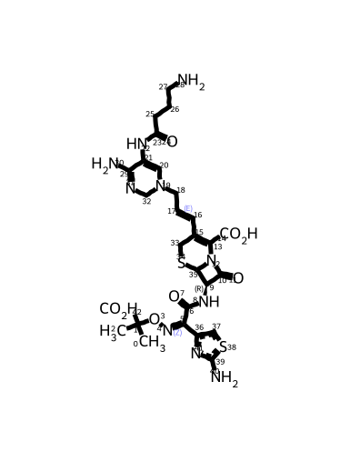 CC(C)(O/N=C(\C(=O)N[C@@H]1C(=O)N2C(C(=O)O)=C(/C=C/CN3C=C(NC(=O)CCCN)C(N)=NC3)CSC12)c1csc(N)n1)C(=O)O